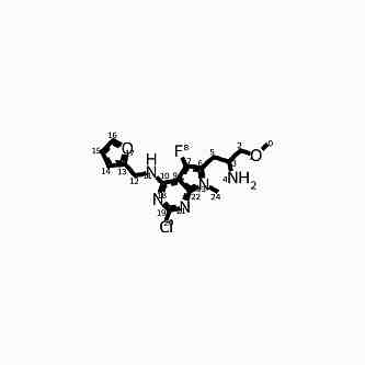 COCC(N)Cc1c(F)c2c(NCc3ccco3)nc(Cl)nc2n1C